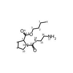 CCCCOC(=O)C1CCCN1C(=O)SCCN